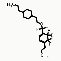 CCCC1=CC=C(C(F)(F)OCCC2CCC(CCC)CC2)C(F)(F)C1(F)F